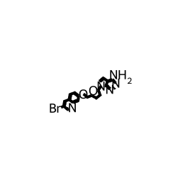 Nc1ncnc2c1ccn2C1CCC(COc2ccc3cc(Br)cnc3c2)O1